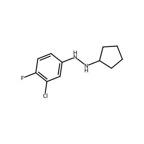 Fc1ccc(NNC2CCCC2)cc1Cl